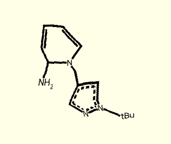 CC(C)(C)n1cc(N2C=CC=CC2N)cn1